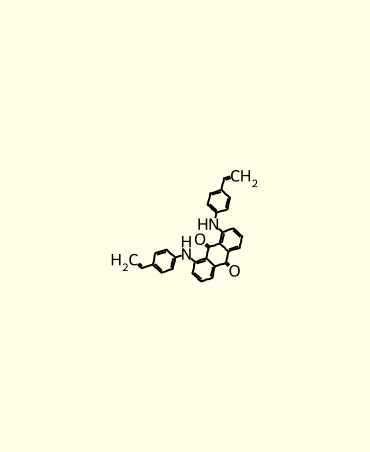 C=Cc1ccc(Nc2cccc3c2C(=O)c2c(Nc4ccc(C=C)cc4)cccc2C3=O)cc1